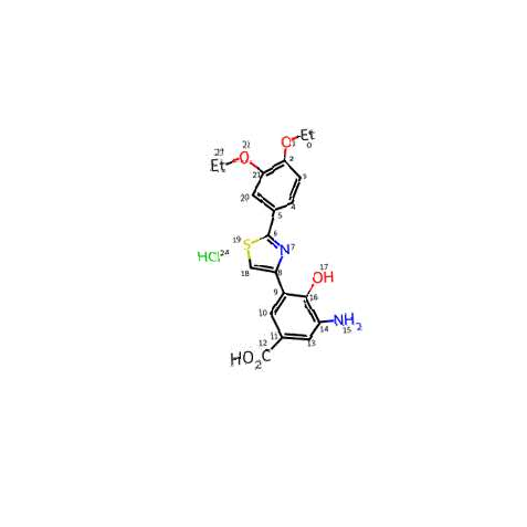 CCOc1ccc(-c2nc(-c3cc(C(=O)O)cc(N)c3O)cs2)cc1OCC.Cl